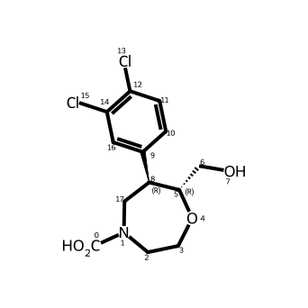 O=C(O)N1CCO[C@@H](CO)[C@H](c2ccc(Cl)c(Cl)c2)C1